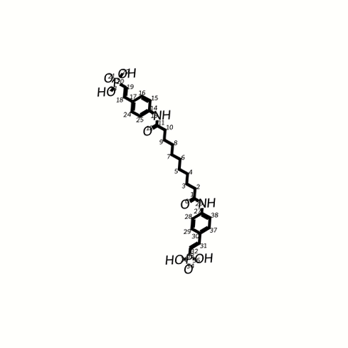 O=C(CCCCCCCCCC(=O)Nc1ccc(C=CP(=O)(O)O)cc1)Nc1ccc(C=CP(=O)(O)O)cc1